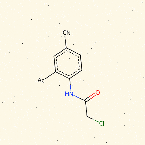 CC(=O)c1cc(C#N)ccc1NC(=O)CCl